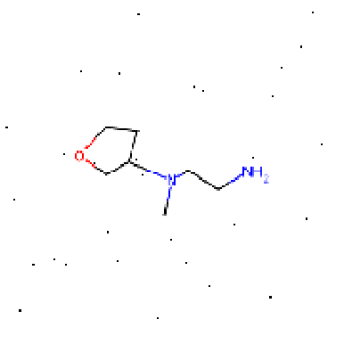 CN(CCN)C1CCOC1